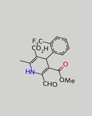 COC(=O)C1=C(C=O)NC(C)=C(C(=O)O)C1c1ccccc1C(F)(F)F